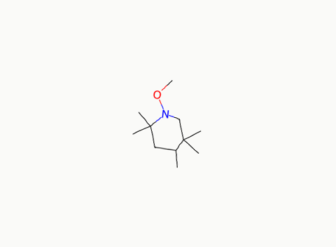 CON1CC(C)(C)C(C)CC1(C)C